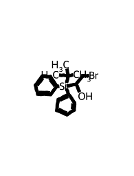 CC(C)(C)[Si](c1ccccc1)(c1ccccc1)C(O)CBr